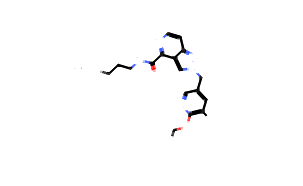 COCCCNC(=O)c1nccc2nn(Cc3cnc(OCC(F)(F)F)c(C)c3)cc12